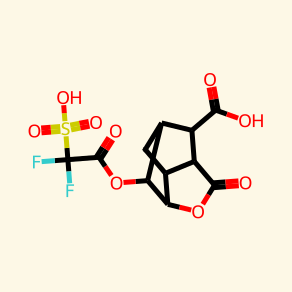 O=C(O)C1C2CC3C(OC(=O)C31)C2OC(=O)C(F)(F)S(=O)(=O)O